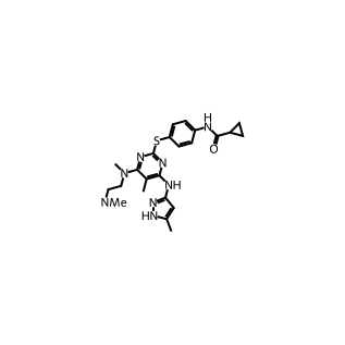 CNCCN(C)c1nc(Sc2ccc(NC(=O)C3CC3)cc2)nc(Nc2cc(C)[nH]n2)c1C